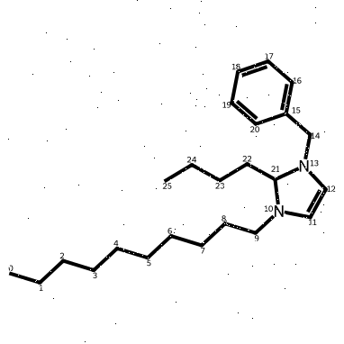 CCCCCCCCCCN1C=CN(Cc2ccccc2)C1CCCC